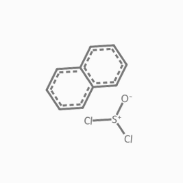 [O-][S+](Cl)Cl.c1ccc2ccccc2c1